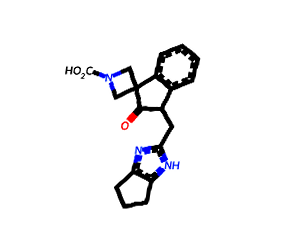 O=C(O)N1CC2(C1)C(=O)C(Cc1nc3c([nH]1)CCC3)c1ccccc12